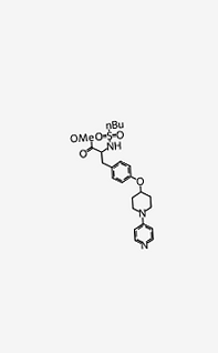 CCCCS(=O)(=O)NC(Cc1ccc(OC2CCN(c3ccncc3)CC2)cc1)C(=O)OC